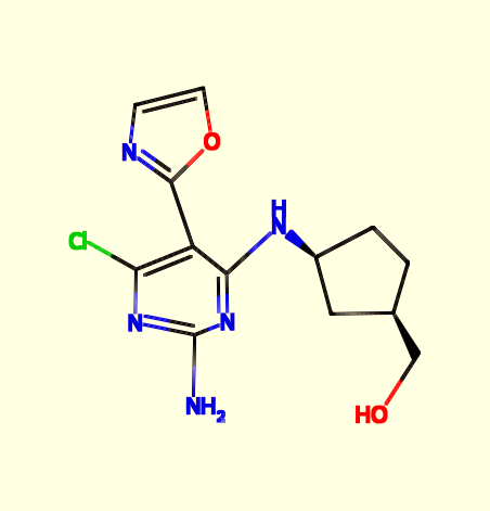 Nc1nc(Cl)c(-c2ncco2)c(N[C@H]2CC[C@@H](CO)C2)n1